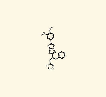 COc1ccc(-c2cn3nc(N(CC4=COCO4)Cc4ccccc4)sc3n2)cc1OC